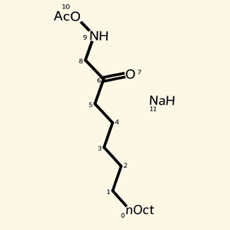 CCCCCCCCCCCCCC(=O)CNOC(C)=O.[NaH]